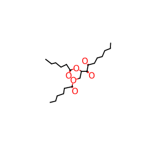 CCCCCCC(=O)C(=O)C(COC(=O)CCCCC)OC(=O)CCCCC